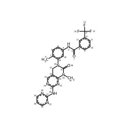 Cc1ccc(NC(=O)c2cccc(C(F)(F)F)c2)cc1N1Cc2cnc(Nc3ncccn3)nc2N(C)C1=O